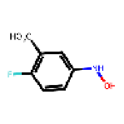 O=C(O)c1cc(NO)ccc1F